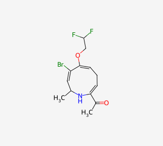 CC(=O)/C1=C/C/C=C(OCC(F)F)\C(Br)=C/C(C)N1